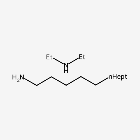 CCCCCCCCCCCCN.CCNCC